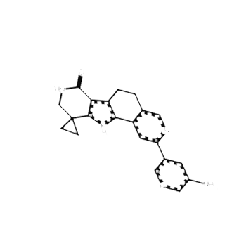 Nc1cncc(-c2cc3c(cn2)CCc2c-3[nH]c3c2C(=O)NCC32CC2)c1